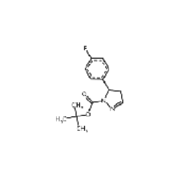 CC(C)(C)OC(=O)N1N=CCC1c1ccc(F)cc1